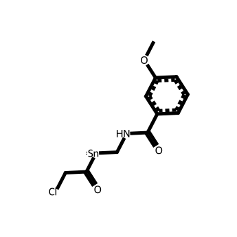 COc1cccc(C(=O)N[CH2][Sn][C](=O)CCl)c1